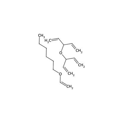 C=CC(C=C)OC(C=C)C=C.C=COCCCCCC